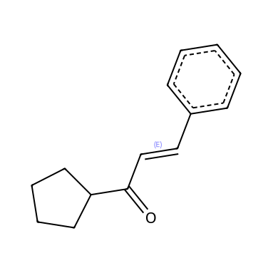 O=C(/C=C/c1ccccc1)C1CCCC1